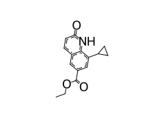 CCOC(=O)c1cc(C2CC2)c2[nH]c(=O)ccc2c1